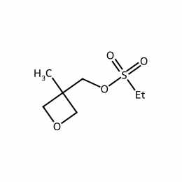 CCS(=O)(=O)OCC1(C)COC1